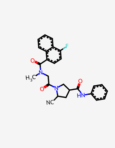 CN(CC(=O)N1CC(C(=O)Nc2ccccc2)CC1C#N)C(=O)c1ccc(F)c2ccccc12